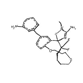 CN1OC2(N=C1N)c1cc(-c3cccc(N)c3)ccc1OC1(CCCOC1)C2(F)F